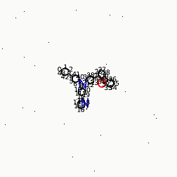 c1ccc(-c2ccc(N(c3ccc(-c4ccccn4)cc3)c3ccc(-c4cccc5c4oc4ccccc45)cc3)cc2)cc1